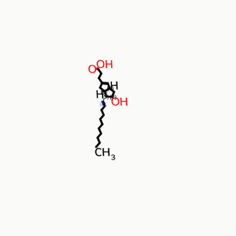 CCCCCCCCCC/C=C/[C@@H]1[C@H]2CC(CCC(=O)O)=C[C@H]2C[C@H]1O